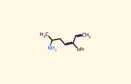 C=C/C(=C\CC(C)N)CCC